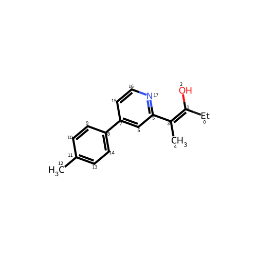 CC/C(O)=C(\C)c1cc(-c2ccc(C)cc2)ccn1